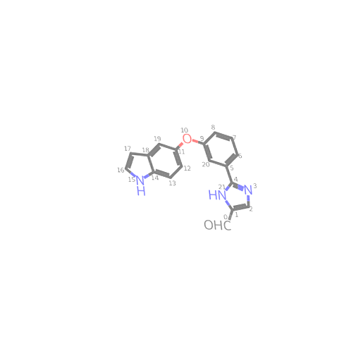 O=Cc1cnc(-c2cccc(Oc3ccc4[nH]ccc4c3)c2)[nH]1